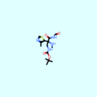 CNC(CNC(=O)OC(C)(C)C)(C(=O)NC=O)c1scnc1C